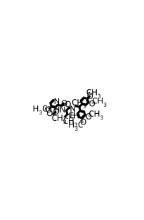 CC[C@H](C)[C@H](NC(=O)c1nccc(OC)c1OC(C)=O)C(=O)N[C@@H](C)C(c1ccc(OC)c(OC)c1)c1ccc(OC)c(OC)c1